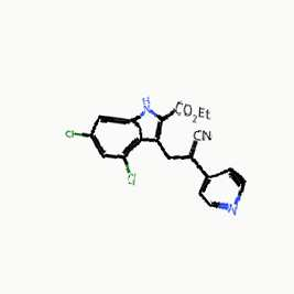 CCOC(=O)c1[nH]c2cc(Cl)cc(Cl)c2c1CC(C#N)c1ccncc1